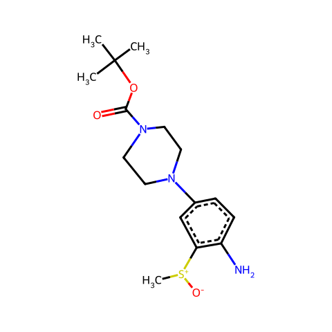 C[S+]([O-])c1cc(N2CCN(C(=O)OC(C)(C)C)CC2)ccc1N